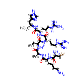 CC(C)C[C@H](NC(=O)[C@@H](NC(=O)[C@H](CCCCN)NC(=O)[C@@H](N)CS)C(C)C)C(=O)N[C@@H](CCCNC(=N)N)C(=O)N[C@@H](CCCNC(=N)N)C(=O)N[C@@H](Cc1c[nH]cn1)C(=O)O